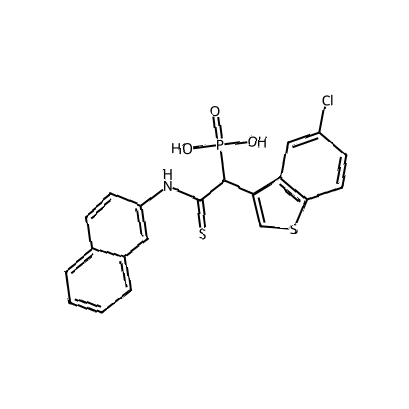 O=P(O)(O)C(C(=S)Nc1ccc2ccccc2c1)c1csc2ccc(Cl)cc12